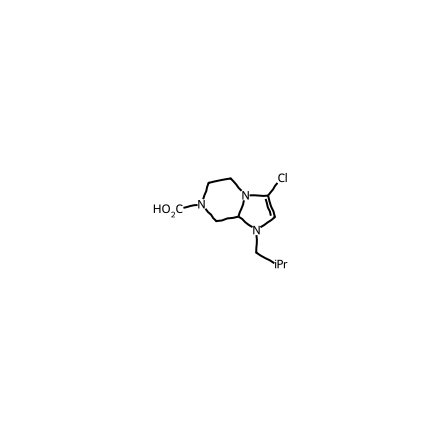 CC(C)CN1C=C(Cl)N2CCN(C(=O)O)CC12